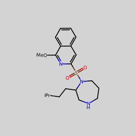 COc1nc(S(=O)(=O)N2CCCNCC2CCC(C)C)cc2ccccc12